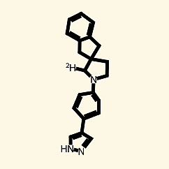 [2H]C1N(c2ccc(-c3cn[nH]c3)cc2)CCC12Cc1ccccc1C2